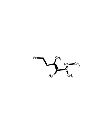 CPN(C)/C(C)=C(\C)CCC(C)C